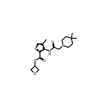 Cc1csc(C(=O)OC2COC2)c1NC(=O)CN1CCC(C)(C)CC1